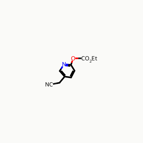 CCOC(=O)Oc1ccc(CC#N)cn1